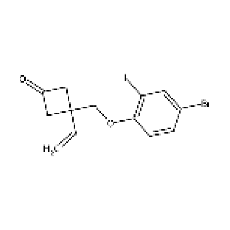 C=CC1(COc2ccc(Br)cc2I)CC(=O)C1